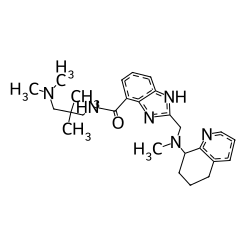 CN(C)CC(C)(C)CNC(=O)c1cccc2[nH]c(CN(C)C3CCCc4cccnc43)nc12